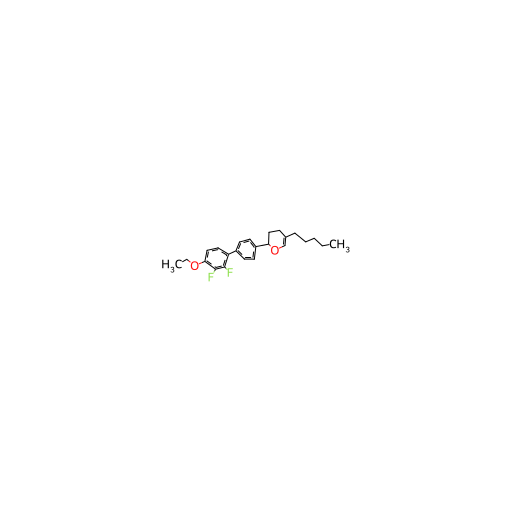 CCCCCC1=COC(c2ccc(-c3ccc(OCC)c(F)c3F)cc2)CC1